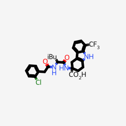 CCC(C)C(NC(=O)Cc1ccccc1Cl)C(=O)NC1(C(=O)O)CCc2[nH]c3c(C(F)(F)F)cccc3c2C1